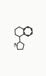 c1ccc2c(c1)CCCC2C1CCC[N]1